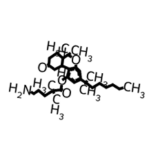 CCCCCCC(C)(C)c1cc(OC(=O)C(C)(C)CCCN)c2c(c1)OC(C)(C)[C@@H]1CCC(=O)C[C@@H]21